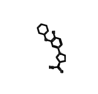 O=C(O)[C@@H]1CCN(c2ccc(Cl)c(OC3CCCCC3)c2)C1